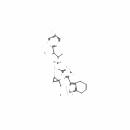 COCC1(n2c(NS(=O)(=O)C(C)C(OC)c3ncc(Cl)cn3)nnc2-c2n[nH]c3c2CCCC3)CC1